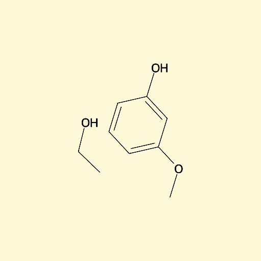 CCO.COc1cccc(O)c1